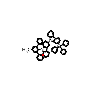 Cc1cc(-c2ccccc2)c(-n2c3ccccc3c3cc(-n4c5ccccc5c5ccc([Si](c6ccccc6)(c6ccccc6)c6ccccc6)cc54)ccc32)c(-c2ccccc2)c1